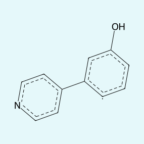 Oc1cc[c]c(-c2ccncc2)c1